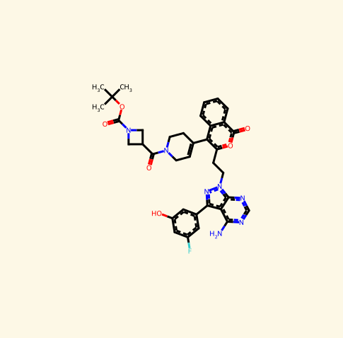 CC(C)(C)OC(=O)N1CC(C(=O)N2CC=C(c3c(CCn4nc(-c5cc(O)cc(F)c5)c5c(N)ncnc54)oc(=O)c4ccccc34)CC2)C1